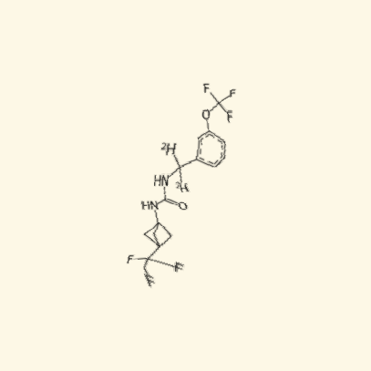 [2H]C([2H])(NC(=O)NC12CC(C(F)(F)F)(C1)C2)c1cccc(OC(F)(F)F)c1